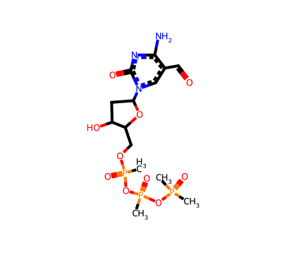 CP(C)(=O)OP(C)(=O)OP(C)(=O)OCC1OC(n2cc(C=O)c(N)nc2=O)CC1O